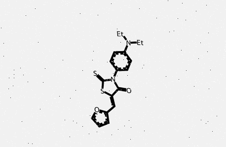 CCN(CC)c1ccc(N2C(=O)C(=Cc3ccco3)SC2=S)cc1